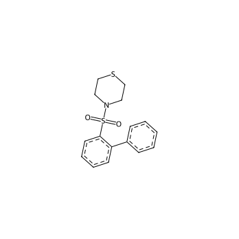 O=S(=O)(c1ccccc1-c1ccccc1)N1CCSCC1